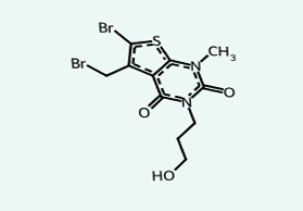 Cn1c(=O)n(CCCO)c(=O)c2c(CBr)c(Br)sc21